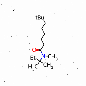 CCC(C)(C)N(C)C(=O)CCCCCC(C)(C)C